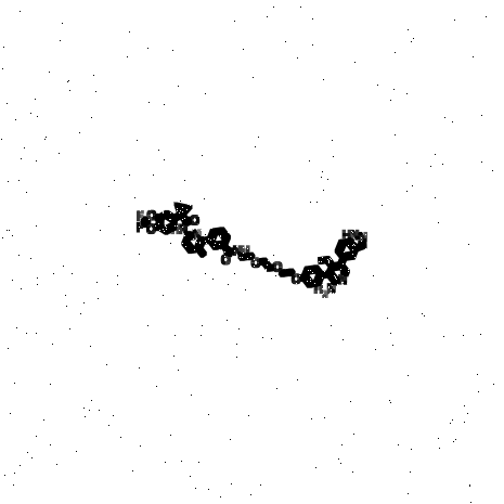 CCc1c(-c2ccc3[nH]ncc3c2)cnc(N)c1-c1ccc(OCCOCCOCCNC(=O)c2cccc(-c3nc(NC(=O)C4(c5ccc6c(c5)OC(F)(F)O6)CC4)ccc3C)c2)cc1